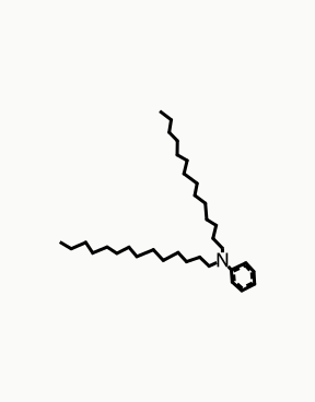 CCCCCCCCCCCCCCN(CCCCCCCCCCCCCC)c1ccccc1